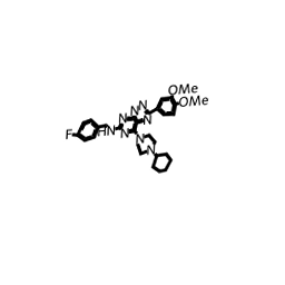 COc1ccc(-c2nnc3nc(NCc4ccc(F)cc4)nc(N4CCN(C5CCCCC5)CC4)c3n2)cc1OC